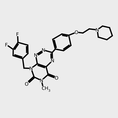 Cn1c(=O)c2nc(-c3ccc(OCCN4CCCCC4)cc3)nnc2n(Cc2ccc(F)c(F)c2)c1=O